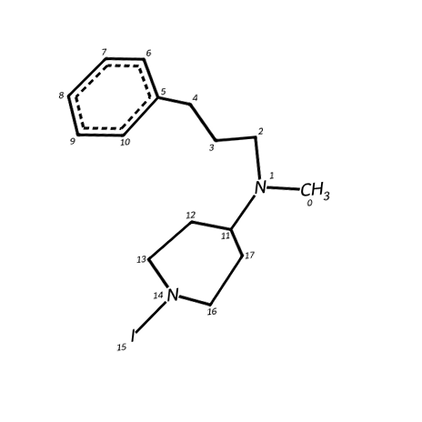 CN(CCCc1ccccc1)C1CCN(I)CC1